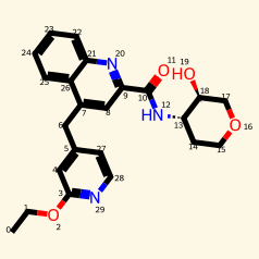 CCOc1cc(Cc2cc(C(=O)N[C@H]3CCOC[C@@H]3O)nc3ccccc23)ccn1